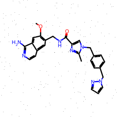 COc1cc2c(N)nccc2cc1CNC(=O)c1cn(Cc2ccc(Cn3cccn3)cc2)c(C)n1